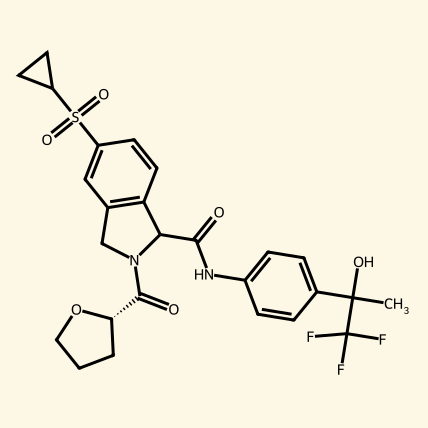 CC(O)(c1ccc(NC(=O)C2c3ccc(S(=O)(=O)C4CC4)cc3CN2C(=O)[C@@H]2CCCO2)cc1)C(F)(F)F